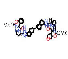 COC(=O)N[C@H](C(=O)N1[C@@H]2CC[C@@H](C2)[C@H]1c1nc2ccc3cc(-c4ccc5c(ccc6nc([C@@H]7CCCN7C(=O)[C@H](NC(=O)OC)c7ccccc7)[nH]c65)c4)ccc3c2[nH]1)C1CCOCC1